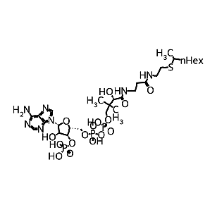 CCCCCCC(C)SCCNC(=O)CCNC(=O)[C@H](O)C(C)(C)COP(=O)(O)OP(=O)(O)OC[C@H]1O[C@@H](n2cnc3c(N)ncnc32)[C@H](O)[C@@H]1OP(=O)(O)O